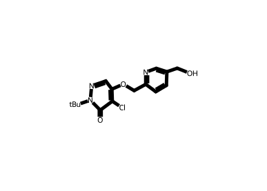 CC(C)(C)n1ncc(OCc2ccc(CO)cn2)c(Cl)c1=O